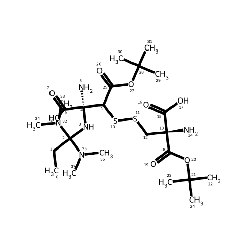 CCC(N[C@@](N)(C(=O)O)C(SSC[C@](N)(C(=O)O)C(=O)OC(C)(C)C)C(=O)OC(C)(C)C)(N(C)C)N(C)C